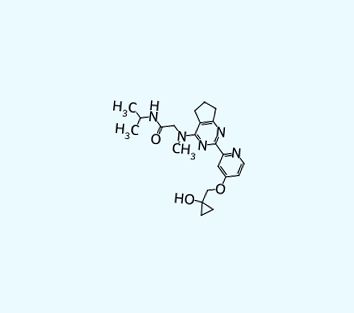 CC(C)NC(=O)CN(C)c1nc(-c2cc(OCC3(O)CC3)ccn2)nc2c1CCC2